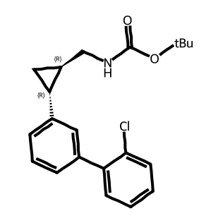 CC(C)(C)OC(=O)NC[C@@H]1C[C@H]1c1cccc(-c2ccccc2Cl)c1